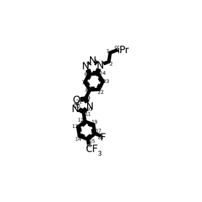 CC(C)CCn1nnc2cc(-c3nc(-c4ccc(C(F)(F)F)c(F)c4)no3)ccc21